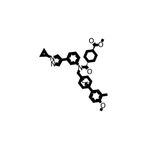 COc1ccc(C23CCC(CN(c4cccc(-c5cnn(C6CC6)c5)c4)C(=O)[C@H]4CC[C@H](C(=O)OC)CC4)(CC2)CC3)cc1C